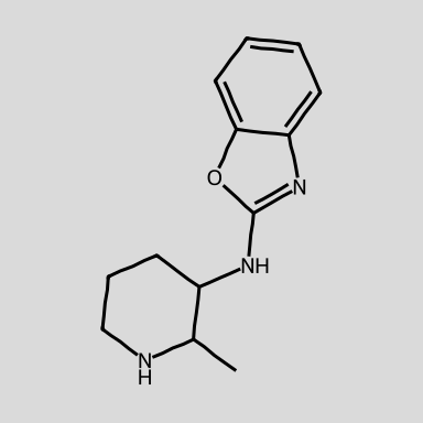 CC1NCCCC1Nc1nc2ccccc2o1